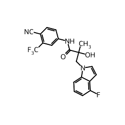 CC(O)(Cn1ccc2c(F)cccc21)C(=O)Nc1ccc(C#N)c(C(F)(F)F)c1